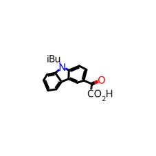 CCC(C)n1c2ccccc2c2cc(C(=O)C(=O)O)ccc21